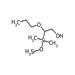 CCCOC(CO)[Si](C)(C)O[SiH3]